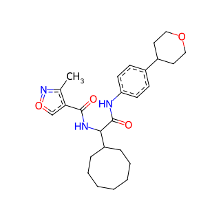 Cc1nocc1C(=O)NC(C(=O)Nc1ccc(C2CCOCC2)cc1)C1CCCCCCC1